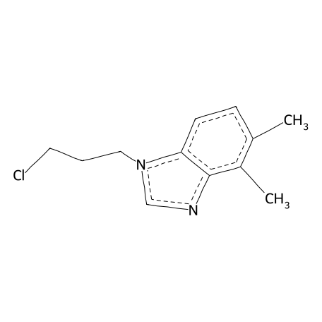 Cc1ccc2c(ncn2CCCCl)c1C